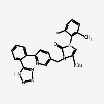 CCCCc1cn(-c2c(C)cccc2F)c(=O)n1Cc1ccc(-c2ccccc2-c2nnn[nH]2)nc1